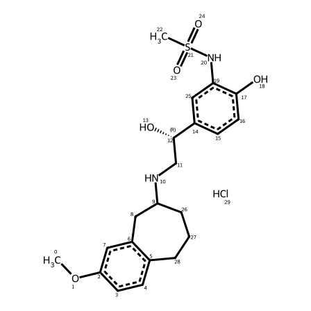 COc1ccc2c(c1)CC(NC[C@H](O)c1ccc(O)c(NS(C)(=O)=O)c1)CCC2.Cl